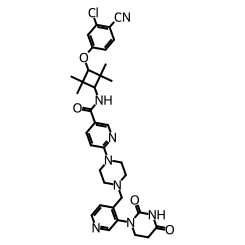 CC1(C)C(NC(=O)c2ccc(N3CCN(Cc4ccncc4N4CCC(=O)NC4=O)CC3)nc2)C(C)(C)C1Oc1ccc(C#N)c(Cl)c1